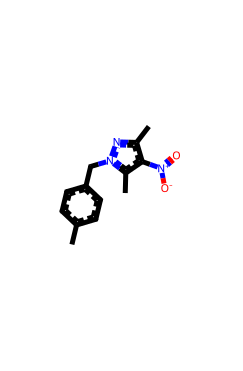 Cc1ccc(Cn2nc(C)c([N+](=O)[O-])c2C)cc1